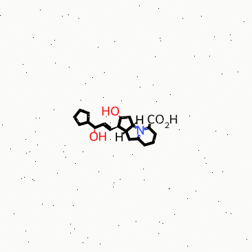 O=C(O)C1CCCC2C[C@@H]3[C@@H](/C=C/[C@H](O)C4CCCC4)[C@H](O)C[C@H]3N21